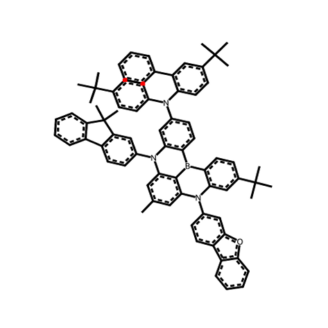 Cc1cc2c3c(c1)N(c1ccc4c(c1)oc1ccccc14)c1cc(C(C)(C)C)ccc1B3c1ccc(N(c3ccc(C(C)(C)C)cc3)c3ccc(C(C)(C)C)cc3-c3ccccc3)cc1N2c1ccc2c(c1)C(C)(C)c1ccccc1-2